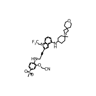 CC1(N2CC3(CCOCC3)C2)CCC(Nc2cccc3c2cc(C#CCNc2ccc(S(C)(=O)=O)cc2OCC#N)n3CC(F)(F)F)CC1